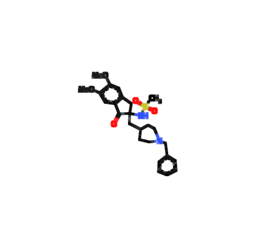 COc1cc2c(cc1OC)C(=O)C(CC1CCN(Cc3ccccc3)CC1)(NS(C)(=O)=O)C2